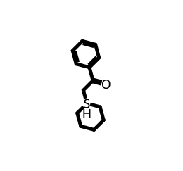 O=C(C[SH]1CCCCC1)c1ccccc1